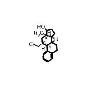 C[C@]12C[C@H](CCl)[C@@H]3c4cc[c]cc4CC[C@H]3[C@@H]1CC[C@@H]2O